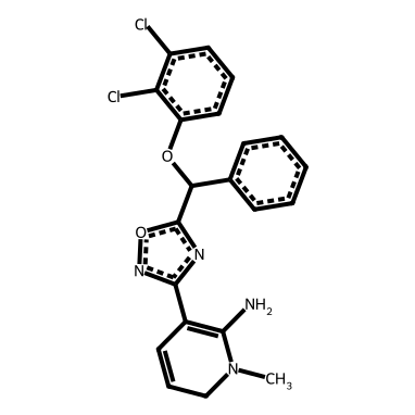 CN1CC=CC(c2noc(C(Oc3cccc(Cl)c3Cl)c3ccccc3)n2)=C1N